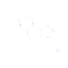 N#Cc1nnc(-c2ccc(Cl)cc2Cl)o1